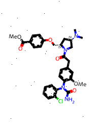 COC(=O)c1ccc(OC[C@@H]2C[C@H](N(C)C)CN2C(=O)Cc2ccc(N(C(N)=O)c3ccccc3Cl)c(OC)c2)cc1